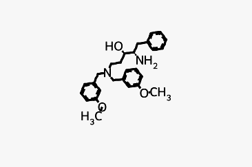 COc1cccc(CN(CC[C@@H](O)[C@@H](N)Cc2ccccc2)Cc2cccc(OC)c2)c1